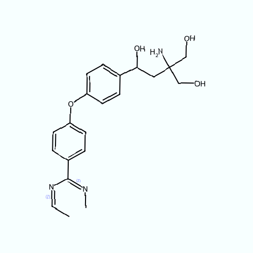 C/C=N\C(=N/C)c1ccc(Oc2ccc(C(O)CC(N)(CO)CO)cc2)cc1